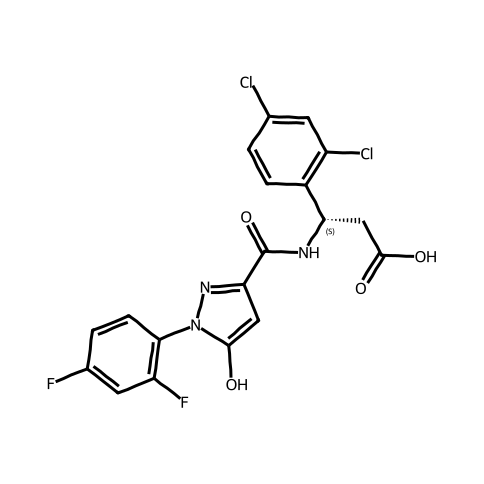 O=C(O)C[C@H](NC(=O)c1cc(O)n(-c2ccc(F)cc2F)n1)c1ccc(Cl)cc1Cl